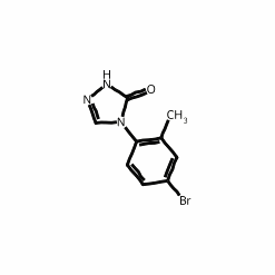 Cc1cc(Br)ccc1-n1cn[nH]c1=O